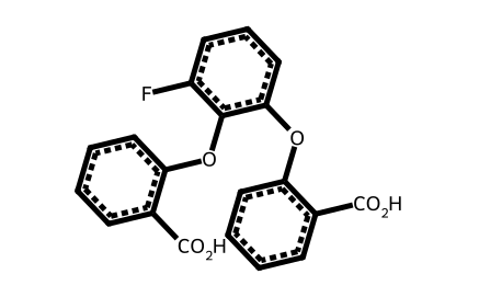 O=C(O)c1ccccc1Oc1cccc(F)c1Oc1ccccc1C(=O)O